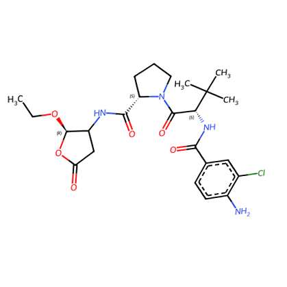 CCO[C@@H]1OC(=O)CC1NC(=O)[C@@H]1CCCN1C(=O)[C@@H](NC(=O)c1ccc(N)c(Cl)c1)C(C)(C)C